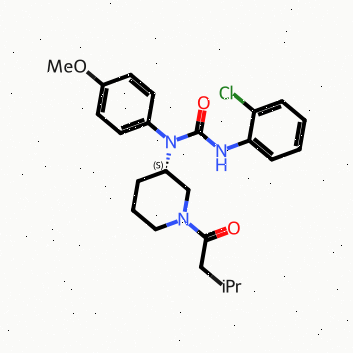 COc1ccc(N(C(=O)Nc2ccccc2Cl)[C@H]2CCCN(C(=O)CC(C)C)C2)cc1